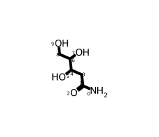 NC(=O)CC(O)C(O)CO